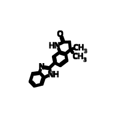 CC1(C)CC(=O)Nc2cc(-c3nc4ccccc4[nH]3)ccc21